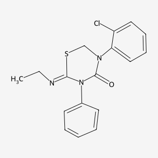 CC/N=C1\SCN(c2ccccc2Cl)C(=O)N1c1ccccc1